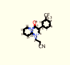 N#CCC[n+]1cc(-c2cccc(C(F)(F)F)c2)c(=O)n2ccccc21